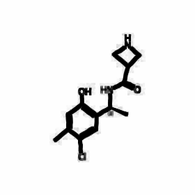 Cc1cc(O)c([C@H](C)NC(=O)C2CNC2)cc1Cl